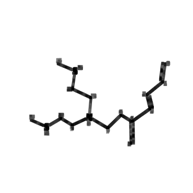 C=CC=CC(=C)CCN(CCSC)CCSC